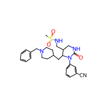 CS(=O)(=O)NCC1CNC(=O)N(c2cccc(C#N)c2)C1CC1CCN(Cc2ccccc2)CC1